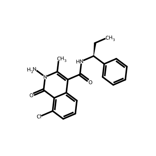 CC[C@H](NC(=O)c1c(C)n(N)c(=O)c2c(Cl)cccc12)c1ccccc1